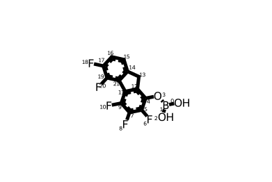 OB(O)Oc1c(F)c(F)c(F)c2c1Cc1ccc(F)c(F)c1-2